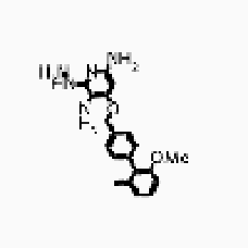 COc1cccc(C)c1-c1ccc(COc2cc(N)nc(NN)c2N)cc1